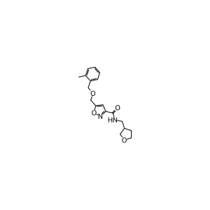 Cc1ccccc1COCc1cc(C(=O)NCC2CCOC2)no1